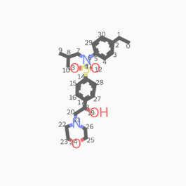 CCc1ccc(N(CC(C)C)S(=O)(=O)c2ccc(C(O)CN3CCOCC3)cc2)cc1